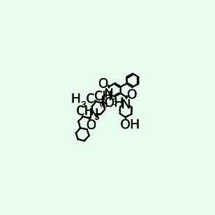 CC(CC1CCCCC1)C(=O)N1CC[C@](O)(Cn2cc(C(=O)N3CCC(O)CC3)c(-c3ccccc3)cc2=O)C(C)(C)C1